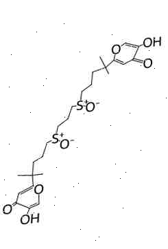 CC(C)(CCC[S+]([O-])CCC[S+]([O-])CCCC(C)(C)c1cc(=O)c(O)co1)c1cc(=O)c(O)co1